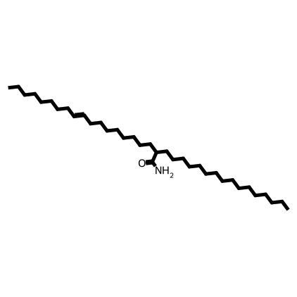 CCCCCCCCC=CCCCCCCCCC(CCCCCCCCCCCCCCCC)C(N)=O